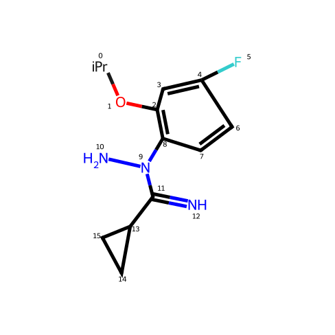 CC(C)Oc1cc(F)ccc1N(N)C(=N)C1CC1